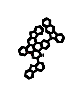 c1ccc(C2=NC(c3cccc4c3sc3ccccc34)NC(c3ccc(-n4c5ccccc5c5cc6ccccc6cc54)cc3-c3c4ccccc4cc4sc5ccccc5c34)=N2)cc1